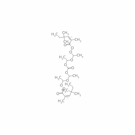 CCC(C)(C)/C=C(/C)C(=O)OOC(C)OC(C)OC(=O)OC(C)OC(C)OOC(=O)/C(C)=C\C(C)(C)CC